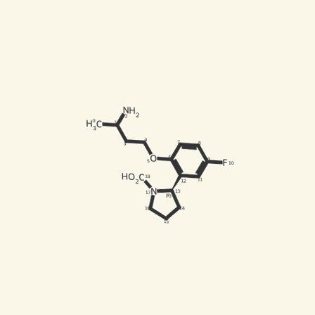 CC(N)CCOc1ccc(F)cc1[C@H]1CCCN1C(=O)O